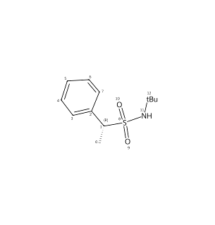 C[C@H](c1ccccc1)S(=O)(=O)NC(C)(C)C